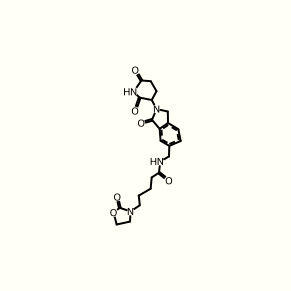 O=C(CCCCN1CCOC1=O)NCc1ccc2c(c1)C(=O)N(C1CCC(=O)NC1=O)C2